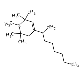 CN1C(C)(C)C=C(C(N)CCCCCN)CC1(C)C